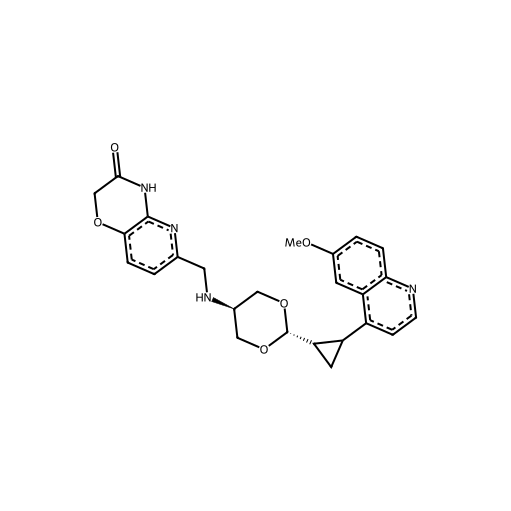 COc1ccc2nccc(C3CC3[C@H]3OC[C@H](NCc4ccc5c(n4)NC(=O)CO5)CO3)c2c1